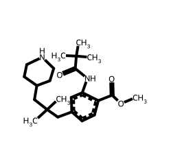 COC(=O)c1ccc(CC(C)(C)CC2CCNCC2)cc1NC(=O)C(C)(C)C